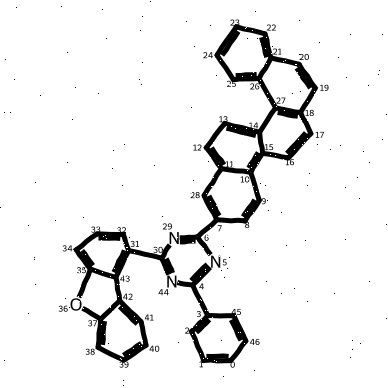 c1ccc(-c2nc(-c3ccc4c(ccc5c4ccc4ccc6ccccc6c45)c3)nc(-c3cccc4oc5ccccc5c34)n2)cc1